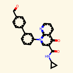 O=Cc1ccc(-c2cccc(-n3cc(C(=O)NC4CC4)c(=O)c4cccnc43)c2)cc1